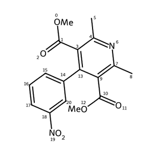 COC(=O)c1c(C)nc(C)c(C(=O)OC)c1-c1cccc([N+](=O)[O-])c1